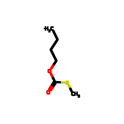 [CH2]CCCOC(=O)SC